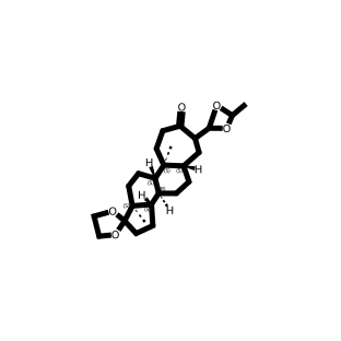 CC1OC(C2C[C@@H]3CC[C@@H]4[C@H](CC[C@@]5(C)[C@H]4CCC54OCCO4)[C@@]3(C)CCC2=O)O1